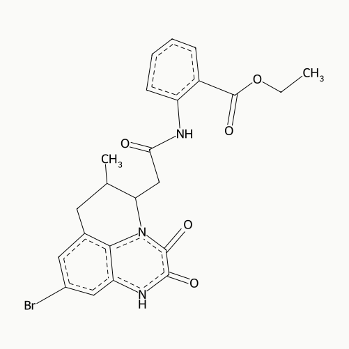 CCOC(=O)c1ccccc1NC(=O)CC1C(C)Cc2cc(Br)cc3[nH]c(=O)c(=O)n1c23